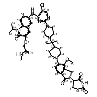 CNC(=O)COc1cc2cc(Nc3nc(N4CCN(C(C)(C)C5CCN(c6ccc7c(c6OC)CN(C6CCC(=O)NC6=O)C7=O)CC5)CC4)ncc3Cl)ccc2n(C(C)C)c1=O